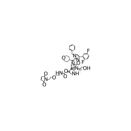 C[C@@H](CO)NC(=O)N(C[C@@H]1CNC[C@H]1OC(=O)NCCOCCN1C(=O)C=CC1=O)[C@@H](c1nc(-c2cc(F)ccc2F)cn1Cc1ccccc1)C1CCOCC1